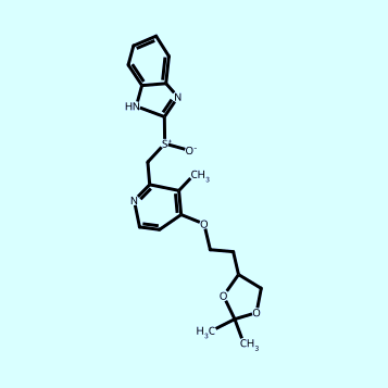 Cc1c(OCCC2COC(C)(C)O2)ccnc1C[S+]([O-])c1nc2ccccc2[nH]1